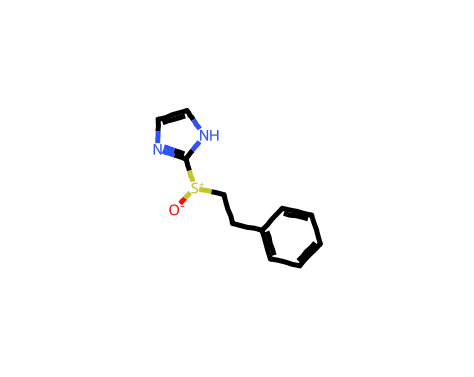 [O-][S+](CCc1ccccc1)c1ncc[nH]1